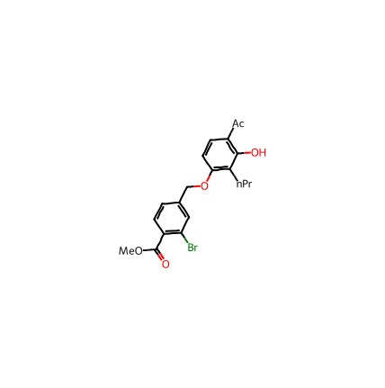 CCCc1c(OCc2ccc(C(=O)OC)c(Br)c2)ccc(C(C)=O)c1O